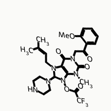 COc1ccccc1C(=O)Cn1c(=O)c2c(n(C)c1=O)N(OC(=O)C(F)(F)F)C(N1CCNCC1)N2CC=C(C)C